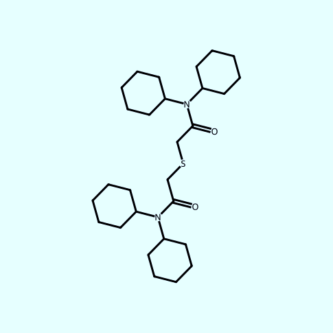 O=C(CSCC(=O)N(C1CCCCC1)C1CCCCC1)N(C1CCCCC1)C1CCCCC1